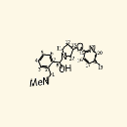 CNCc1ccccc1[C@H](O)N1CCC(Oc2ccc(C)cn2)C1